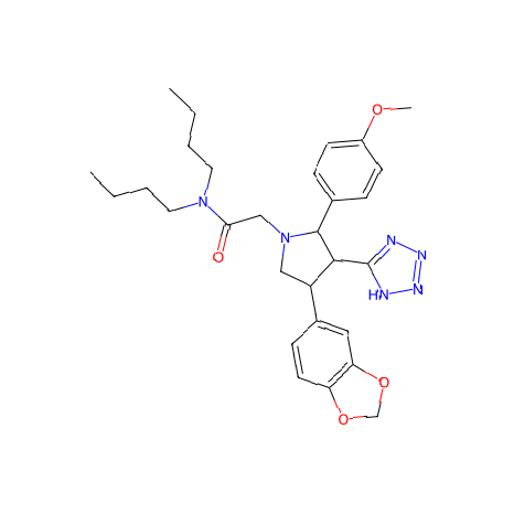 CCCCN(CCCC)C(=O)CN1CC(c2ccc3c(c2)OCO3)C(c2nnn[nH]2)C1c1ccc(OC)cc1